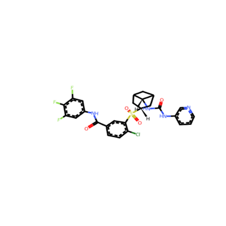 O=C(Nc1cccnc1)N[C@H]1C2CC1C[C@@H](S(=O)(=O)c1cc(C(=O)Nc3cc(F)c(F)c(F)c3)ccc1Cl)C2